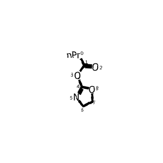 CCCC(=O)OC1=NCCO1